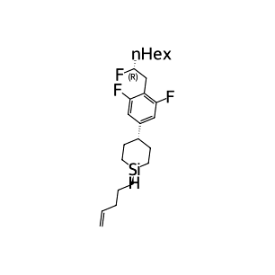 C=CCCC[Si@H]1CC[C@H](c2cc(F)c(C[C@H](F)CCCCCC)c(F)c2)CC1